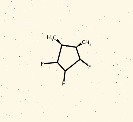 C[C@@H]1C(F)C(F)C(F)[C@@H]1C